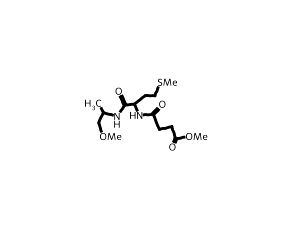 COCC(C)NC(=O)C(CCSC)NC(=O)CCC(=O)OC